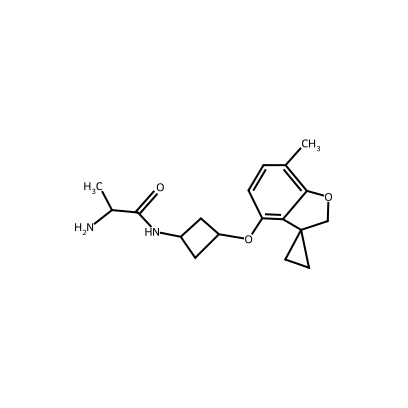 Cc1ccc(OC2CC(NC(=O)C(C)N)C2)c2c1OCC21CC1